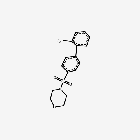 O=C(O)c1ccccc1-c1ccc(S(=O)(=O)N2CCOCC2)cc1